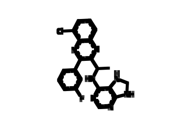 CC(Nc1ncnc2c1NCN2)c1nc2cccc(Cl)c2nc1-c1cccc(F)c1